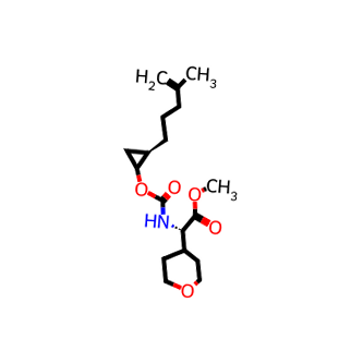 C=C(C)CCC[C@@H]1CC1OC(=O)N[C@H](C(=O)OC)C1CCOCC1